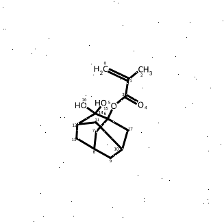 C=C(C)C(=O)OC12CC3CC(CC(C3)C1(O)O)C2